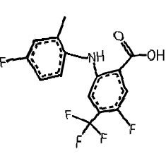 Cc1cc(F)ccc1Nc1cc(C(F)(F)F)c(F)cc1C(=O)O